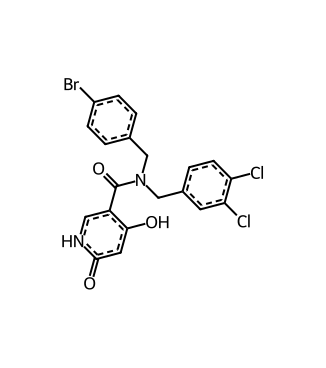 O=C(c1c[nH]c(=O)cc1O)N(Cc1ccc(Br)cc1)Cc1ccc(Cl)c(Cl)c1